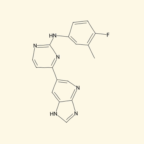 Cc1cc(Nc2nccc(-c3cnc4nc[nH]c4c3)n2)ccc1F